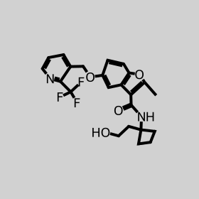 Cc1oc2ccc(OCc3cccnc3C(F)(F)F)cc2c1C(=O)NC1(CCO)CCC1